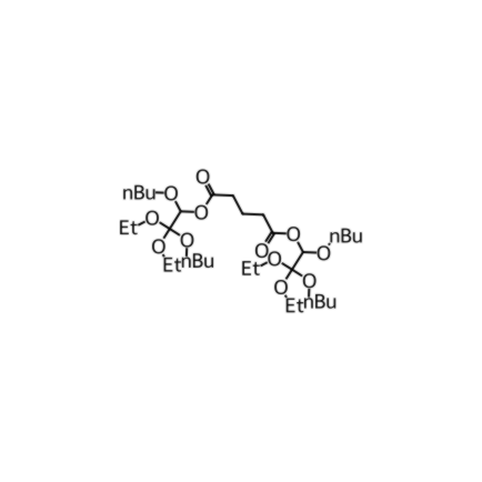 CCCCOC(OC(=O)CCCC(=O)OC(OCCCC)C(OCC)(OCC)OCCCC)C(OCC)(OCC)OCCCC